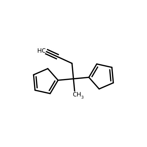 C#CCC(C)(C1=CC=CC1)C1=CC=CC1